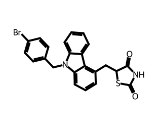 O=C1NC(=O)C(Cc2cccc3c2c2ccccc2n3Cc2ccc(Br)cc2)S1